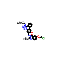 CCCCc1nc2ccc(OCCCl)cc2c(=O)n1Cc1ccc(-c2ccccc2-c2nnnn2COC)cc1